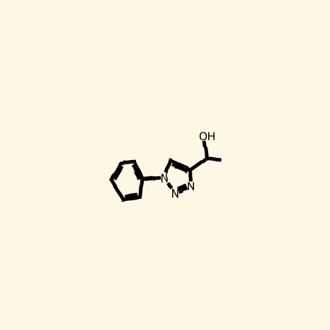 CC(O)c1cn(-c2ccccc2)nn1